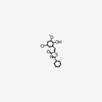 COc1cc(Cl)cc(C=C2SC(c3ccccc3)=NC2=O)c1O